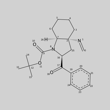 C=N[C@@]12CCCC[C@@H]1N(C(=O)OC(C)(C)C)[C@H](C(=O)c1ccccc1)C2